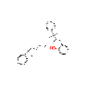 CC(C)(CCCCCCC(Cc1ccccc1O)C(C)(C)c1ccccc1)c1ccccc1